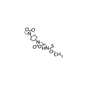 CCOC(=S)NC[C@H]1CN(c2ccc(N3CCOC3=O)cc2)C(=O)O1